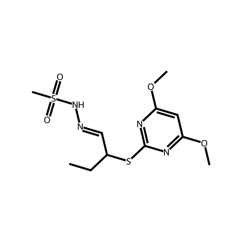 CCC(C=NNS(C)(=O)=O)Sc1nc(OC)cc(OC)n1